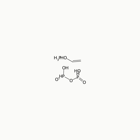 C=CO.O=[PH](O)O[PH](=O)O.P